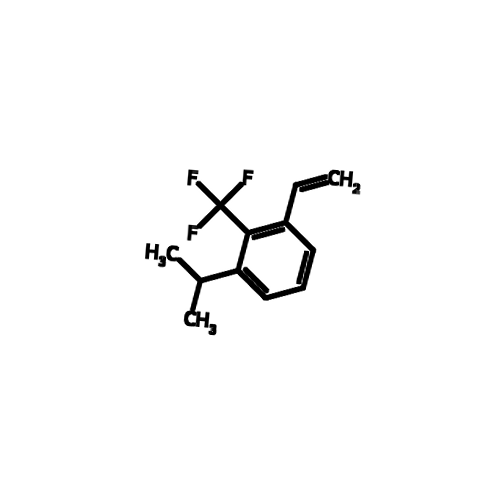 C=Cc1cccc(C(C)C)c1C(F)(F)F